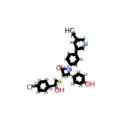 C#Cc1cncc(-c2ccc(N3C(=O)[C@H](SC[C@H](O)c4ccc(Cl)cc4)[C@H]3c3ccc(O)cc3)cc2)c1